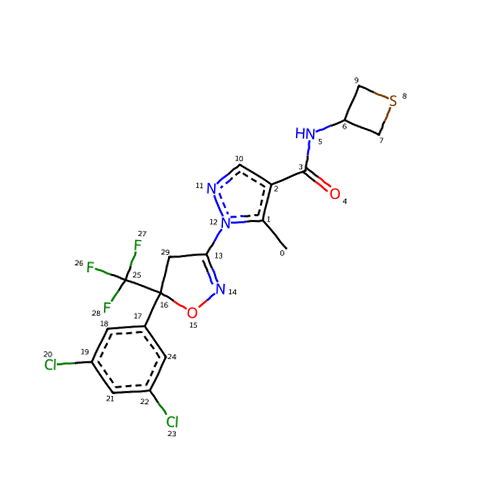 Cc1c(C(=O)NC2CSC2)cnn1C1=NOC(c2cc(Cl)cc(Cl)c2)(C(F)(F)F)C1